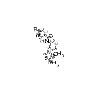 CC1(c2cccc(NC(=O)c3ccc(F)nc3)c2)CCSC(N)=N1